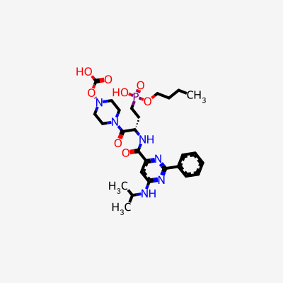 CCCCOP(=O)(O)CC[C@H](NC(=O)c1cc(NC(C)C)nc(-c2ccccc2)n1)C(=O)N1CCN(OC(=O)O)CC1